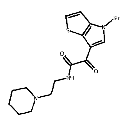 CC(C)n1cc(C(=O)C(=O)NCCN2CCCCC2)c2sccc21